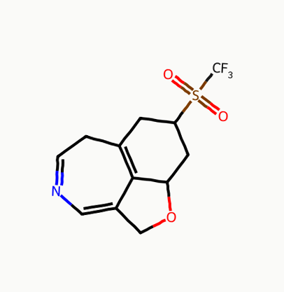 O=S(=O)(C1CC2=C3C(=CN=CC2)COC3C1)C(F)(F)F